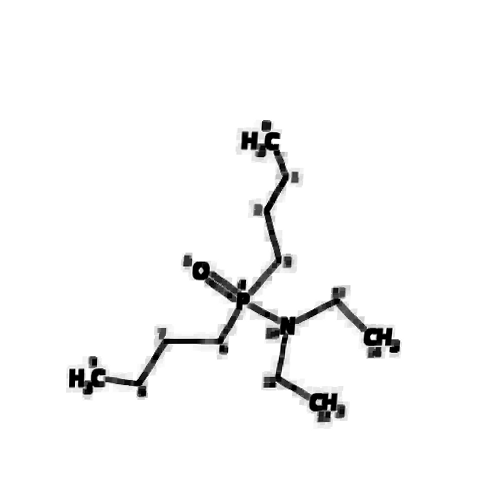 CCCCP(=O)(CCCC)N(CC)CC